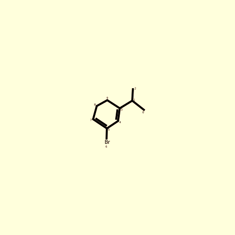 CC(C)C1=CC(Br)=CCC1